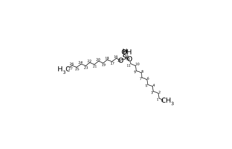 CCCCCCCCCCCCO[SiH](O)OCCCCCCCCCCCC